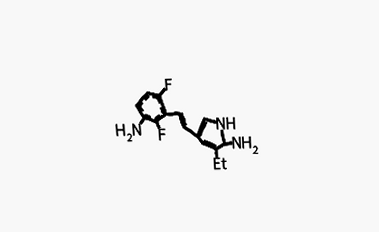 CCC1=CC(C=Cc2c(F)ccc(N)c2F)=CNC1N